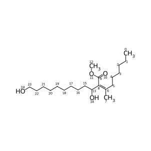 CCCCCCC(C)=C(C(=O)OC)C(O)CCCCCCCCCO